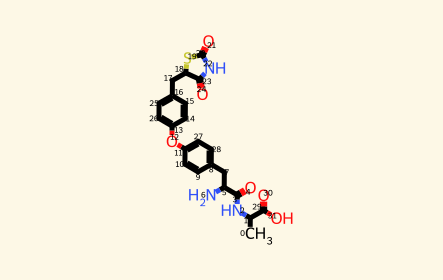 CC(NC(=O)C(N)Cc1ccc(Oc2ccc(CC3SC(=O)NC3=O)cc2)cc1)C(=O)O